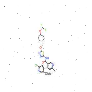 COc1cnc(Cl)cc1-c1cc(C)ncc1C(=O)Nc1nnc(OC[C@H]2CC[C@H](OC(F)F)CC2)s1